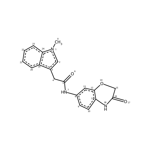 Cn1cc(CC(=O)Nc2ccc3c(c2)OCC(=O)N3)c2ccccc21